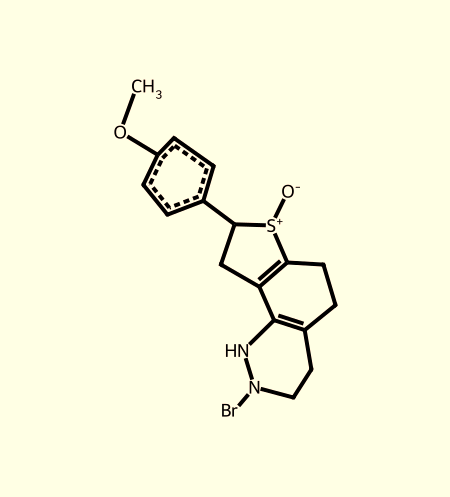 COc1ccc(C2CC3=C(CCC4=C3NN(Br)CC4)[S+]2[O-])cc1